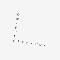 [F-].[F-].[F-].[F-].[F-].[F-].[F-].[K+].[K+].[K+].[K+].[K+].[K+].[K+]